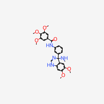 CNC1(c2cccc(NC(=O)c3cc(OC)c(OC)c(OC)c3)c2)N=CNc2cc(OC)c(OC)cc21